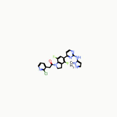 Cn1nccc1Nc1nccc(-c2cc(F)c3c(c2F)CCN3C(=O)Cc2cccnc2Cl)n1